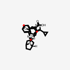 COc1cc(C(=O)O)cc2sc(N3C4CC[C@H]3C[C@H](OCc3c(-c5ccccc5C)noc3C3CC3)C4)nc12